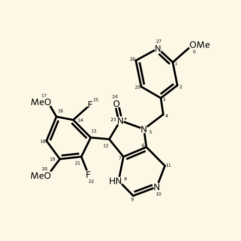 COc1cc(CN2C3=C(NC=NC3)C(c3c(F)c(OC)cc(OC)c3F)[N+]2=O)ccn1